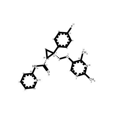 Cc1ncc(OC[C@@]2(c3ccc(F)cc3)C[C@H]2C(=O)Nc2ccccn2)c(C)n1